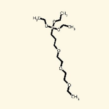 CCOCCOCCOCCC[Si](OCC)(OCC)OCC